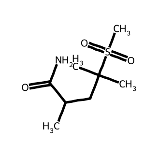 CC(CC(C)(C)S(C)(=O)=O)C(N)=O